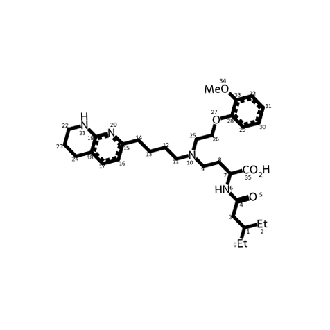 CCC(CC)CC(=O)NC(CCN(CCCCc1ccc2c(n1)NCCC2)CCOc1ccccc1OC)C(=O)O